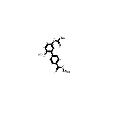 CCCCCCCCCOC(=O)c1ccc(-c2cc(OC(=O)CCCCCCCCC)ccc2C(=O)O)cc1